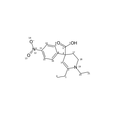 CCC1=CC(C(=O)O)(c2ccc([N+](=O)[O-])cc2)CCN1CC